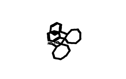 OC1CCCCCCC1(O)C1(c2ccccc2)CCCCCCC1c1ccccc1